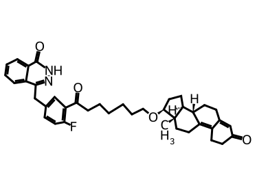 C[C@]12CCC3=C4CCC(=O)C=C4CC[C@H]3[C@@H]1CC[C@@H]2OCCCCCCC(=O)c1cc(Cc2n[nH]c(=O)c3ccccc23)ccc1F